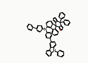 c1ccc(-c2ccc(N(c3ccc(-c4ccc5c(c4)c4ccccc4n5-c4ccccc4)cc3)c3cccc4c3-c3ccccc3C43c4ccccc4C(c4ccccc4)(c4ccccc4)c4ccccc43)cc2)cc1